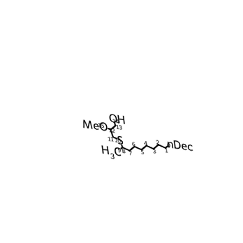 CCCCCCCCCCCCCCCCCC(C)SCC(CO)OC